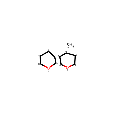 C1CCOCC1.C1CCOCC1.[SiH4]